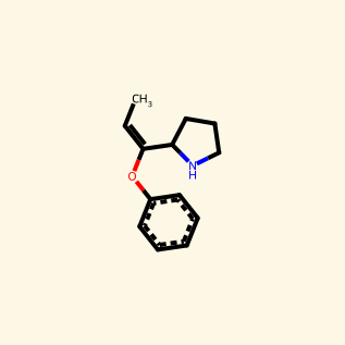 CC=C(Oc1ccccc1)C1CCCN1